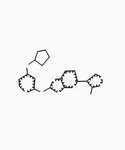 Cc1[nH]ncc1-c1ccc2nc(Nc3cc(OC4CCCC4)ccn3)sc2n1